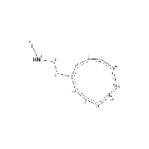 INCCc1ccccccccc1